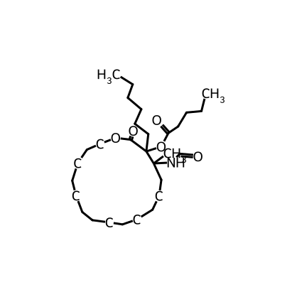 CCCCCCC1(OC(=O)CCCC)C(=O)OCCCCCCCCCCCCCC1(C)NC=O